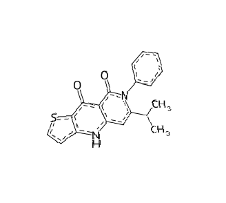 CC(C)c1cc2[nH]c3ccsc3c(=O)c2c(=O)n1-c1ccccc1